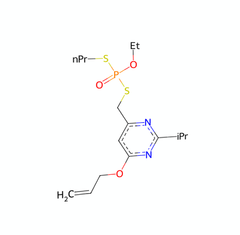 C=CCOc1cc(CSP(=O)(OCC)SCCC)nc(C(C)C)n1